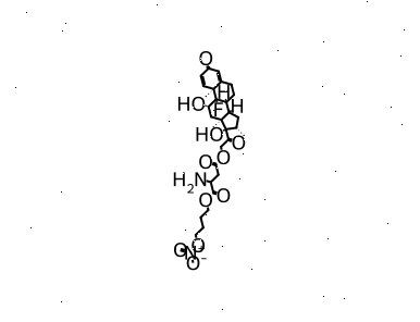 C[C@H]1C[C@H]2[C@@H]3CCC4=CC(=O)C=C[C@]4(C)[C@@]3(F)[C@@H](O)C[C@]2(C)[C@@]1(O)C(=O)COC(=O)CC(N)C(=O)OCCCCO[N+](=O)[O-]